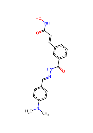 CN(C)c1ccc(/C=N/NC(=O)c2cccc(/C=C/C(=O)NO)c2)cc1